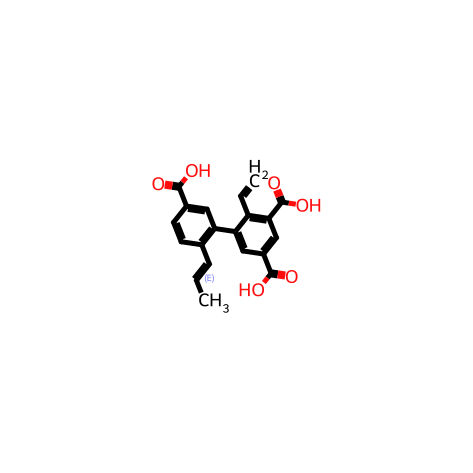 C=Cc1c(C(=O)O)cc(C(=O)O)cc1-c1cc(C(=O)O)ccc1/C=C/C